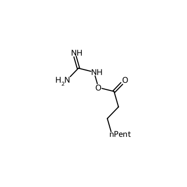 CCCCCCCC(=O)ONC(=N)N